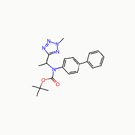 CC(c1nnn(C)n1)N(C(=O)OC(C)(C)C)c1ccc(-c2ccccc2)cc1